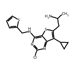 CC(N)Cc1sc2c(NCc3cccs3)nc(Cl)nc2c1C1CC1